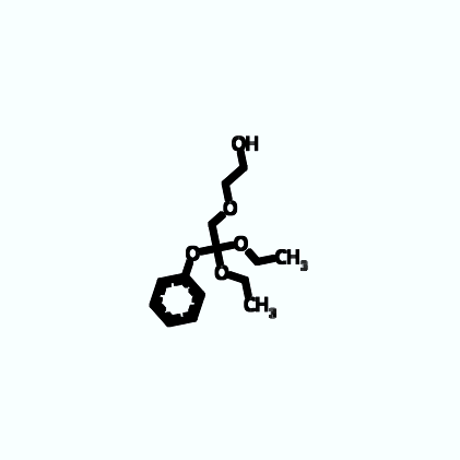 CCOC(COCCO)(OCC)Oc1ccccc1